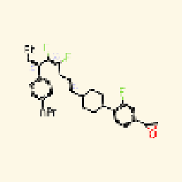 CC/C=C(\C(F)=C(\F)C/C=C/C1CCC(c2ccc(C3CO3)cc2F)CC1)c1ccc(CCC)cc1